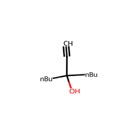 C#CC(O)(CCCC)CCCC